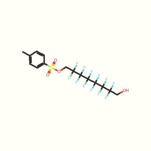 Cc1ccc(S(=O)(=O)OCC(F)(F)C(F)(F)C(F)(F)C(F)(F)C(F)(F)C(F)(F)CO)cc1